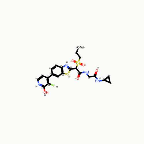 COCCS(=O)(=O)C(C(=O)NCC(=O)NC1CC1)c1nc2ccc(-c3ccnc(O)c3F)cc2s1